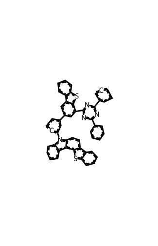 c1ccc(-c2nc(-c3ccccc3)nc(-c3cc(-c4cccc(-n5c6ccccc6c6c7sc8ccccc8c7ccc65)c4)cc4c3sc3ccccc34)n2)cc1